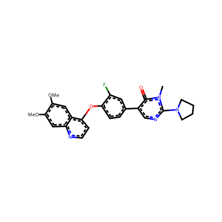 COc1cc2nccc(Oc3ccc(-c4cnc(N5CCCC5)n(C)c4=O)cc3F)c2cc1OC